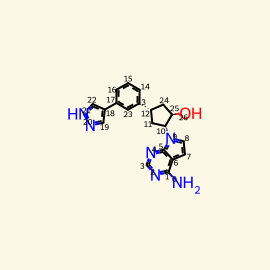 Nc1ncnc2c1ccn2[C@@H]1C[C@H](c2cccc(-c3cn[nH]c3)c2)C[C@H]1O